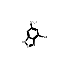 O=S(=O)(O)c1cc(O)c2nn[nH]c2c1